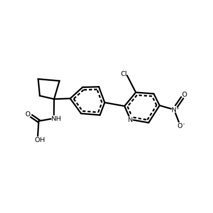 O=C(O)NC1(c2ccc(-c3ncc([N+](=O)[O-])cc3Cl)cc2)CCC1